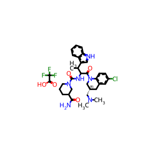 CC(c1c[nH]c2ccccc12)C(NC(=O)N1CCCC(C(N)=O)C1)C(=O)N1C[C@@H](CN(C)C)Cc2cc(Cl)ccc21.O=C(O)C(F)(F)F